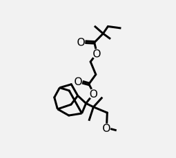 CCC(C)(C)C(=O)OCCC(=O)OC1(C(C)(C)COC)C2CC3CC(C2)CC1C3